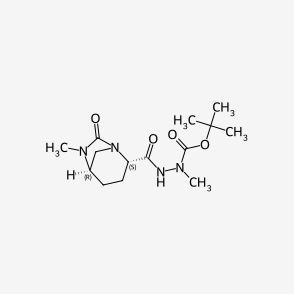 CN(NC(=O)[C@@H]1CC[C@@H]2CN1C(=O)N2C)C(=O)OC(C)(C)C